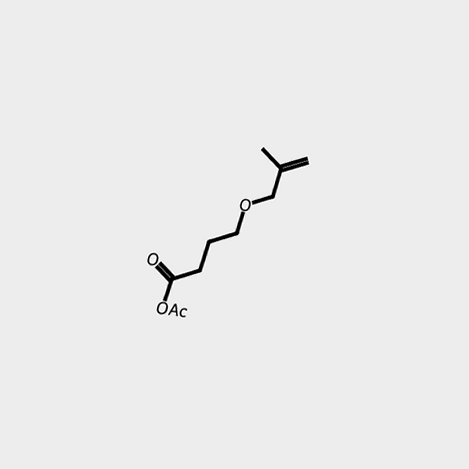 C=C(C)COCCCC(=O)OC(C)=O